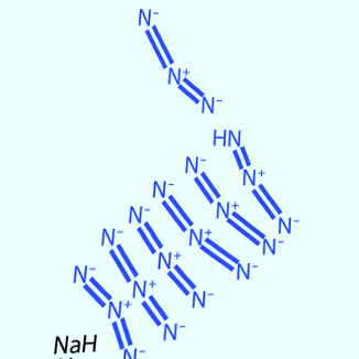 [N-]=[N+]=N.[N-]=[N+]=[N-].[N-]=[N+]=[N-].[N-]=[N+]=[N-].[N-]=[N+]=[N-].[N-]=[N+]=[N-].[N-]=[N+]=[N-].[NaH].[NaH]